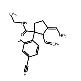 C=CN1/C(=C\N)CCC1(C(=O)NCC)c1ccc(C#N)cc1Cl